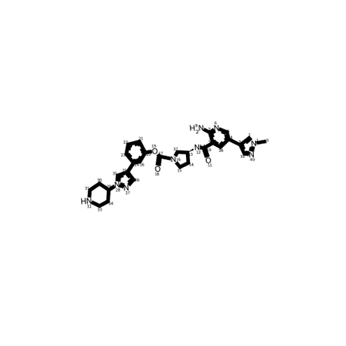 Cn1cc(-c2cnc(N)c(C(=O)N[C@@H]3CCN(C(=O)Oc4cccc(-c5cnn(C6CCNCC6)c5)c4)C3)c2)cn1